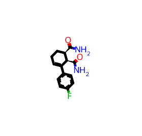 NC(=O)[C@H]1C(c2ccc(F)cc2)=CCC[C@H]1C(N)=O